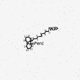 CCCCCC1(C2(CCCCCCCCCN=C=O)CCCCC2)CCCCC1